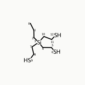 CCC[Si](CCS)(CCS)CCS